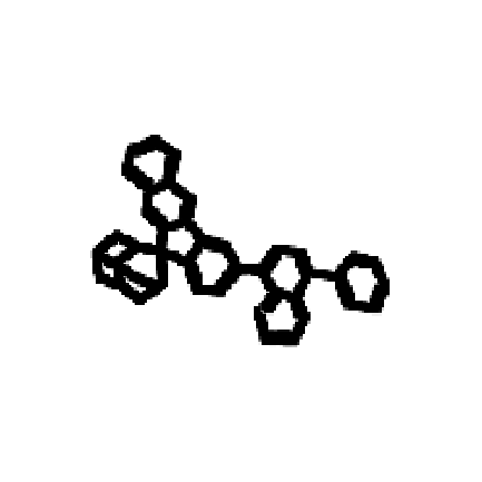 c1ccc(-c2ccc(-c3ccc4c(c3)-c3cc5ccccc5cc3C43C4CC5CC(C4)CC3C5)c3ncccc23)cc1